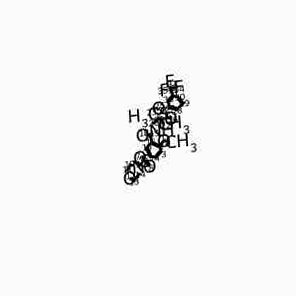 COc1ccc(S(=O)(=O)N2CCOCC2)cc1C(=O)NCC(C)(C)S(=O)(=O)c1cccc(C(F)(F)F)c1